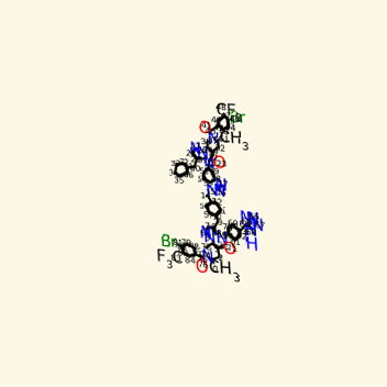 C[C@H]1Cc2c(n3ncc(Cc4ccc(Cn5nnc6cc(-n7c(=O)c8c(n9ncc(Cc%10ccccc%10)c79)CN(C(=O)c7ccc(Br)c(C(F)(F)F)c7)[C@@H](C)C8)ccc65)cc4)c3n(-c3ccc(-c4nnn[nH]4)cc3)c2=O)CN1C(=O)c1ccc(Br)c(C(F)(F)F)c1